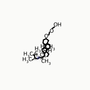 CC[C@H](/C=C/[C@@H](C)[C@H]1CC[C@H]2[C@@H]3CC=C4CC(OCCOCCO)CC[C@]4(C)[C@H]3CC[C@]12C)C(C)C